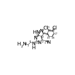 N#Cc1nc(NCCN)nc2[nH]nc(-c3cccc(Cl)c3Cl)c12